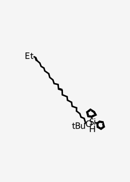 CCC=CCCCCCCCCCC=CCCCCCCCCCCC(O[SiH](c1ccccc1)c1ccccc1)C(C)(C)C